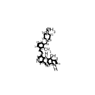 Cc1c(/C=C/c2cncc(C#N)c2Nc2ccc3[nH]ccc3c2C)cccc1CN1CCN(C)CC1